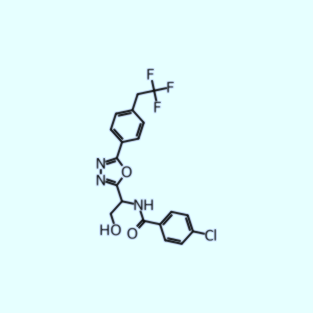 O=C(NC(CO)c1nnc(-c2ccc(CC(F)(F)F)cc2)o1)c1ccc(Cl)cc1